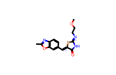 COCC/N=C1/NC(=O)/C(=C/c2ccc3nc(C)oc3c2)S1